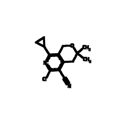 CC1(C)Cc2c(C#N)c(Cl)nc(C3CC3)c2CO1